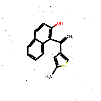 C=C(c1csc(C)c1)c1c(O)ccc2ccccc12